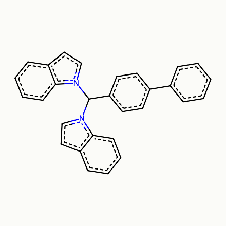 c1ccc(-c2ccc(C(n3ccc4ccccc43)n3ccc4ccccc43)cc2)cc1